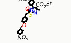 CCOC(=O)C1=C(C)N=c2s/c(=C\c3ccc(OCc4ccc([N+](=O)[O-])cc4)cc3)c(=O)n2C1c1ccc(OC)cc1